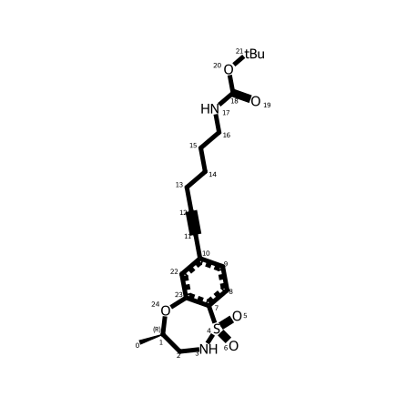 C[C@@H]1CNS(=O)(=O)c2ccc(C#CCCCCNC(=O)OC(C)(C)C)cc2O1